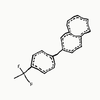 CC(F)(F)c1ccc(-c2ccc3ccccc3c2)cc1